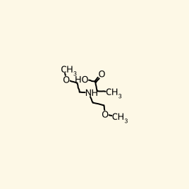 CCC(=O)O.COCCNCCOC